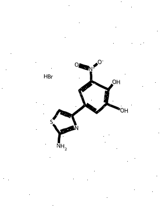 Br.Nc1nc(-c2cc(O)c(O)c([N+](=O)[O-])c2)cs1